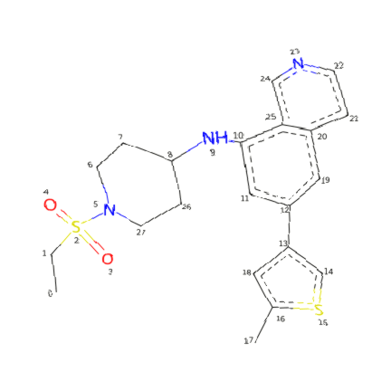 CCS(=O)(=O)N1CCC(Nc2cc(-c3csc(C)c3)cc3ccncc23)CC1